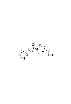 O=C(OCc1ccccc1)N1CC=C(CO)CC1